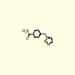 NC(=O)c1ccc(Cn2ccnn2)cc1